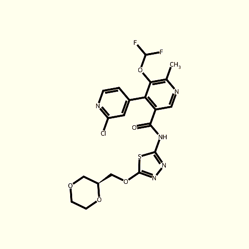 Cc1ncc(C(=O)Nc2nnc(OC[C@@H]3COCCO3)s2)c(-c2ccnc(Cl)c2)c1OC(F)F